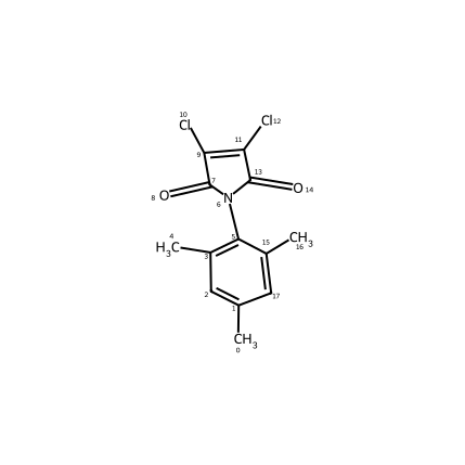 Cc1cc(C)c(N2C(=O)C(Cl)=C(Cl)C2=O)c(C)c1